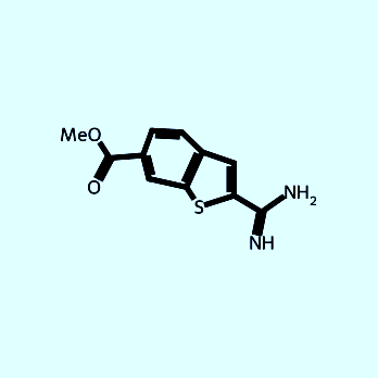 COC(=O)c1ccc2cc(C(=N)N)sc2c1